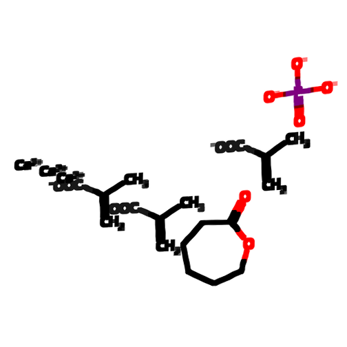 C=C(C)C(=O)[O-].C=C(C)C(=O)[O-].C=C(C)C(=O)[O-].O=C1CCCCCO1.O=P([O-])([O-])[O-].[Ca+2].[Ca+2].[Ca+2]